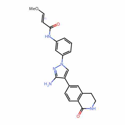 CO/C=C/C(=O)Nc1cccc(-n2cc(-c3ccc4c(c3)CCNC4=O)c(N)n2)c1